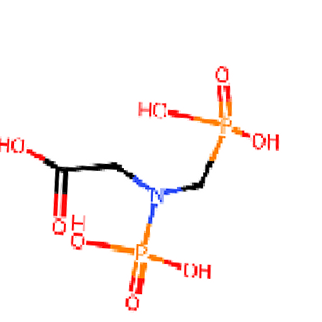 O=C(O)CN(CP(=O)(O)O)P(=O)(O)O